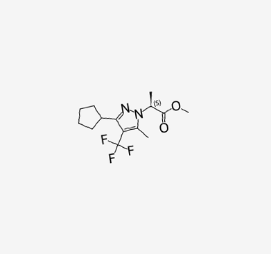 COC(=O)[C@H](C)n1nc(C2CCCC2)c(C(F)(F)F)c1C